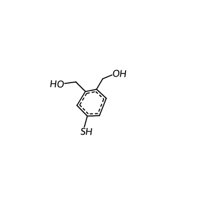 OCc1ccc(S)cc1CO